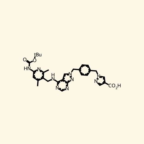 Cc1cc(NC(=O)OC(C)(C)C)nc(C)c1CNc1ncnc2nn(Cc3ccc(Cn4cc(C(=O)O)cn4)cc3)cc12